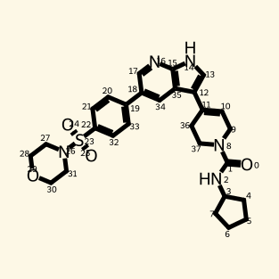 O=C(NC1CCCC1)N1CC=C(c2c[nH]c3ncc(-c4ccc(S(=O)(=O)N5CCOCC5)cc4)cc23)CC1